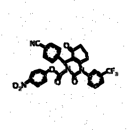 N#Cc1ccc(C2C3=C(CCCC3=O)N(c3cccc(C(F)(F)F)c3)C(=O)N2C(=O)Oc2ccc([N+](=O)[O-])cc2)cc1